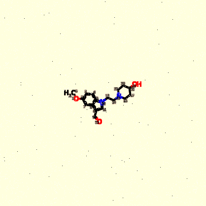 COc1ccc2c(c1)c(C=O)cn2CCN1CCC(O)CC1